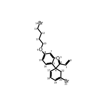 C=CC(=O)C1(c2ccc(OCCCCBr)cc2)C=CC=C(Br)C1